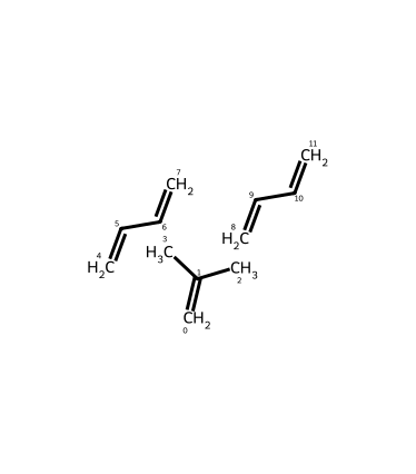 C=C(C)C.C=CC=C.C=CC=C